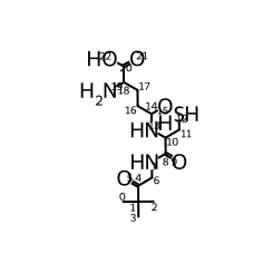 CC(C)(C)C(=O)CNC(=O)C(CS)NC(O)CCC(N)C(=O)O